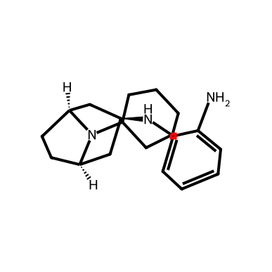 Nc1ccccc1N[C@H]1C[C@H]2CC[C@@H](C1)N2C1CCCCC1